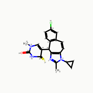 Cc1nc2c(n1C1CC1)C=Cc1cc(Cl)ccc1C2c1cn(C)c(=O)[nH]c1=S